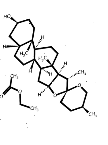 CCOC(C)=O.C[C@H]1CC[C@@]2(OC1)O[C@H]1C[C@H]3[C@@H]4CC[C@@H]5C[C@@H](O)CC[C@]5(C)[C@H]4CC[C@]3(C)[C@H]1[C@@H]2C